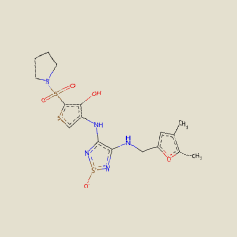 Cc1cc(CNc2n[s+]([O-])nc2Nc2csc(S(=O)(=O)N3CCCC3)c2O)oc1C